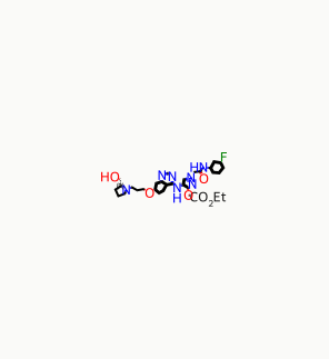 CCOC(=O)Oc1nn(CC(=O)Nc2cccc(F)c2)cc1Nc1ncnc2cc(OCCCN3CCC[C@@H]3CO)ccc12